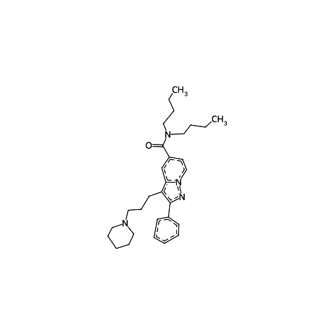 CCCCN(CCCC)C(=O)c1ccn2nc(-c3ccccc3)c(CCCN3CCCCC3)c2c1